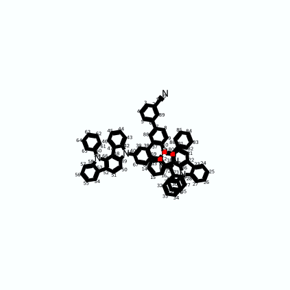 N#Cc1cccc(-c2ccc(-n3c4ccccc4c4c3ccc3c5ccccc5n(-c5ccccc5)c34)c(-c3cc(-n4c5ccccc5c5c4ccc4c6ccccc6n(-c6ccccc6)c45)ccc3-c3nc(-c4ccccc4)nc(-c4ccccc4)n3)c2)c1